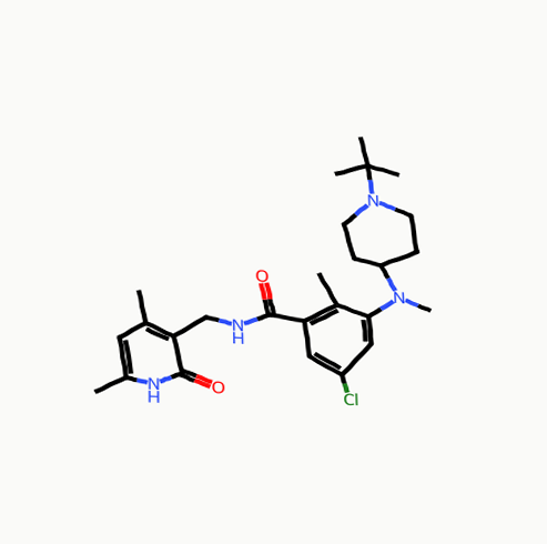 Cc1cc(C)c(CNC(=O)c2cc(Cl)cc(N(C)C3CCN(C(C)(C)C)CC3)c2C)c(=O)[nH]1